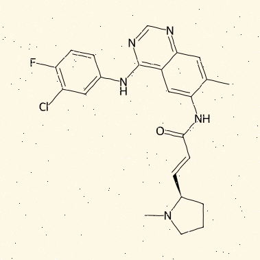 Cc1cc2ncnc(Nc3ccc(F)c(Cl)c3)c2cc1NC(=O)/C=C/[C@H]1CCCN1C